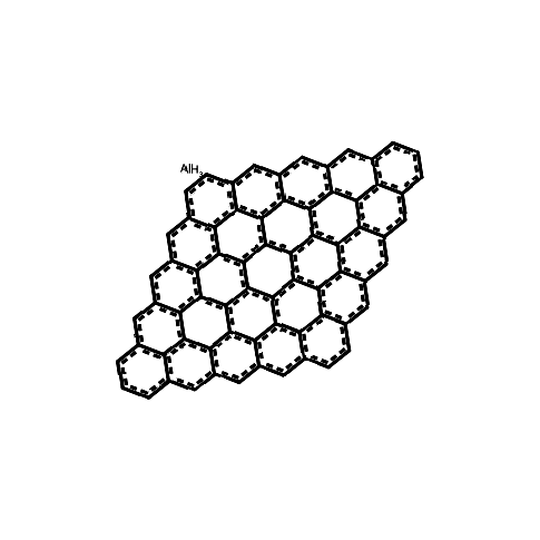 [AlH3].c1cc2cc3cc4cc5ccc6cc7cc8cc9cccc%10cc%11cc%12cc%13ccc%14cc%15cc%16cc(c1)c2c1c3c2c4c3c5c6c4c7c5c8c(c9%10)c%11c6c%12c7c%13c%14c8c%15c(c%161)c2c1c3c4c(c56)c7c81